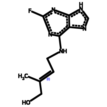 C/C(=C\CNc1nc(F)nc2[nH]cnc12)CO